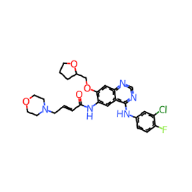 O=C(C=CCN1CCOCC1)Nc1cc2c(Nc3ccc(F)c(Cl)c3)ncnc2cc1OCC1CCCO1